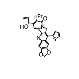 C=CC(O)c1cc2n(c(=O)c1CCC)Cc1c-2nc2cc3c(cc2c1-c1cccs1)OCO3